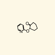 O=C1CCCCC1Oc1ccccn1